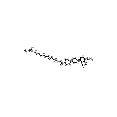 COc1cc(N2CCC(N3CCN(C(=O)CCOCCOCCOCCOCCC(N)=O)CC3)CC2)ccc1N